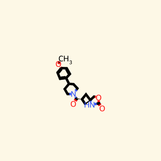 COc1ccc(C2CCN(C(=O)[C@H]3C[C@]4(COC(=O)N4)C3)CC2)cc1